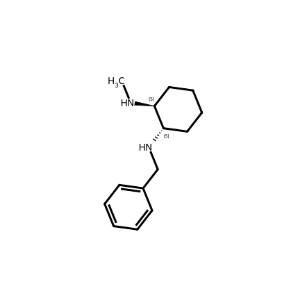 CN[C@H]1CCCC[C@@H]1NCc1ccccc1